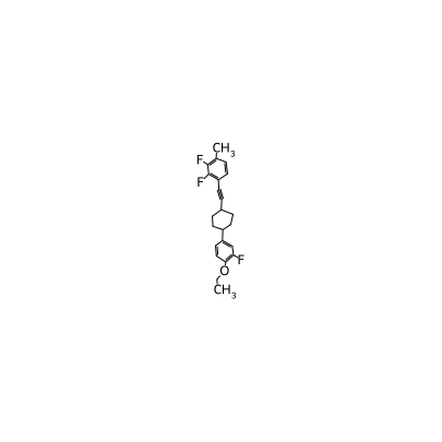 CCOc1ccc(C2CCC(C#Cc3ccc(C)c(F)c3F)CC2)cc1F